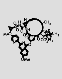 COc1ccc2c(O[C@@H]3C[C@H]4C(=O)N[C@]5(C(=O)NS(=O)(=O)C6CC6)C[C@H]5C=CCC[C@H](C)C[C@@H](C)[C@H](N(C(=O)O)C(C)(C)C(C)(F)F)C(=O)N4C3)nc(-c3ccc(OC(C)C)cn3)cc2c1